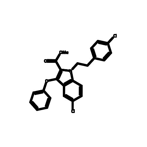 COC(=O)c1c(Oc2ccccc2)c2cc(Cl)ccc2n1CCc1ccc(Cl)cc1